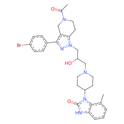 CC(=O)N1CCc2c(c(-c3ccc(Br)cc3)nn2CC(O)CN2CCC(n3c(=O)[nH]c4cccc(C)c43)CC2)C1